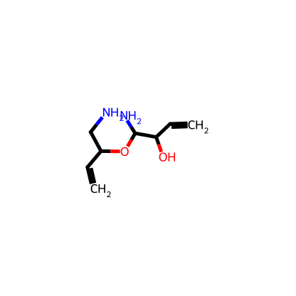 C=CC(CN)OC(N)C(O)C=C